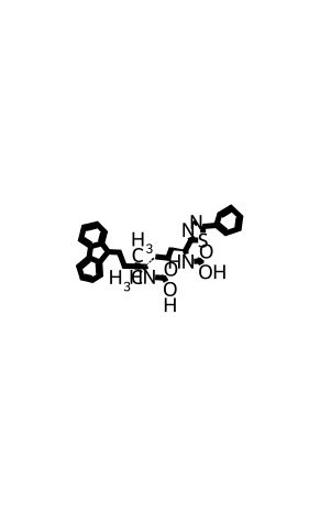 CC(C)(CCC1c2ccccc2-c2ccccc21)[C@H](CCC[C@H](NC(=O)O)c1nnc(-c2ccccc2)s1)NC(=O)O